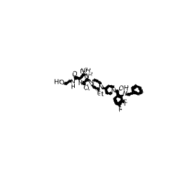 CC[C@H]1CN(c2nc(N)c(C(=O)NCCO)nc2Cl)CCN1C1CCN(C(=O)c2ccc(F)c(F)c2NCc2ccccc2)CC1